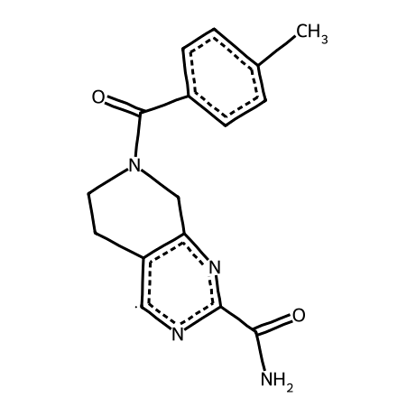 Cc1ccc(C(=O)N2CCc3[c]nc(C(N)=O)nc3C2)cc1